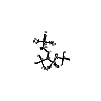 CC(C)(C)NP(N)(=O)N(SNP(N)(N)=O)C(C)(C)C